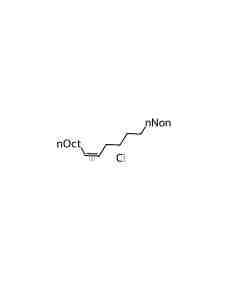 [C].[C]CCCCCCCCCCCC/C=C\CCCCCCCC